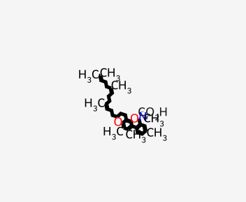 CC(C)=CCCC(C)=CCCC(C)=CCCC1CCc2cc(-c3ccc(C)cc3C(=O)N(C)C(=O)O)c(C)c(C)c2O1